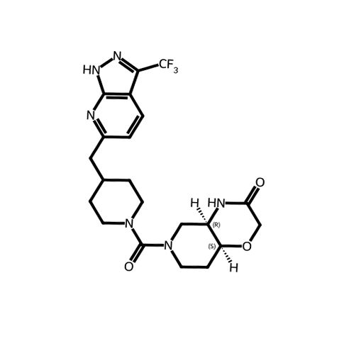 O=C1CO[C@H]2CCN(C(=O)N3CCC(Cc4ccc5c(C(F)(F)F)n[nH]c5n4)CC3)C[C@H]2N1